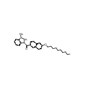 CCCCCCCCCCOc1ccc2cc(C(=O)N3NN(O)c4ccccc43)ccc2c1